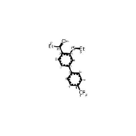 CCSc1cc(-c2ccc(C(F)(F)F)cc2)ccc1C(=O)CC